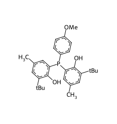 COc1ccc(P(c2cc(C)cc(C(C)(C)C)c2O)c2cc(C)cc(C(C)(C)C)c2O)cc1